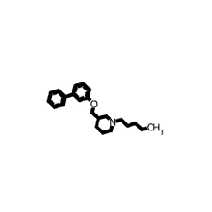 CCCCCN1CCCC(COc2cccc(-c3ccccc3)c2)C1